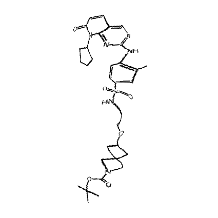 Cc1cc(S(=O)(=O)NCCOC2CC3(C2)CN(C(=O)OC(C)(C)C)C3)ccc1Nc1ncc2ccc(=O)n(C3CCCC3)c2n1